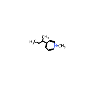 CCC(C)C1=CC=CN(C)C=C1